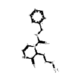 CSCCC1C(=O)NC=CN1C(=O)OCc1ccccc1